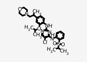 CC(C)Oc1cc(C(C)CN2CCOCC2)ccc1Nc1ncc(Cl)c(Nc2ccccc2S(=O)(=O)C(C)C)n1